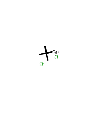 C[C](C)(C)[Ga+2].[Cl-].[Cl-]